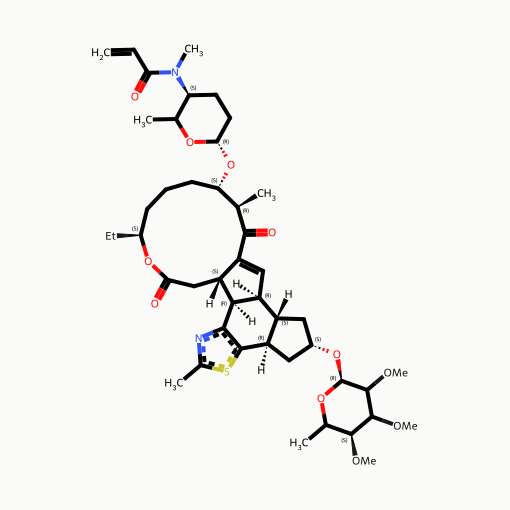 C=CC(=O)N(C)[C@H]1CC[C@H](O[C@H]2CCC[C@H](CC)OC(=O)C[C@@H]3C(=C[C@H]4[C@@H]5C[C@H](O[C@@H]6OC(C)[C@H](OC)C(OC)C6OC)C[C@H]5c5sc(C)nc5[C@H]43)C(=O)[C@@H]2C)OC1C